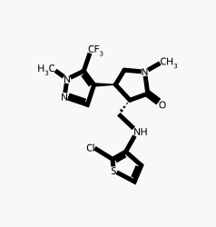 CN1C[C@H](c2cnn(C)c2C(F)(F)F)[C@@H](CNc2ccsc2Cl)C1=O